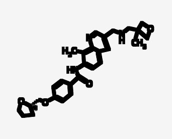 Cc1c(NC(=O)c2ccc(OC[C@@H]3CCCO3)cc2)ccc2cc(CNCC3(C)COC3)cnc12